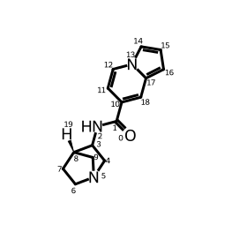 O=C(NC1CN2CC[C@H]1C2)c1ccn2cccc2c1